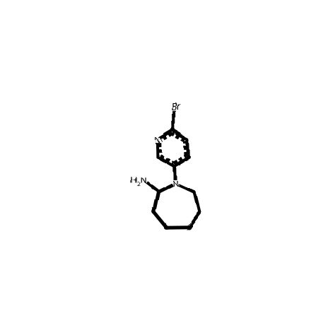 NC1CCCCCN1c1ccc(Br)nc1